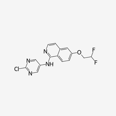 FC(F)COc1ccc2c(Nc3cnc(Cl)nc3)nccc2c1